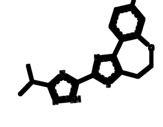 CC(C)c1n[nH]c(-c2nc3c(s2)CCOc2cc(Br)ccc2-3)n1